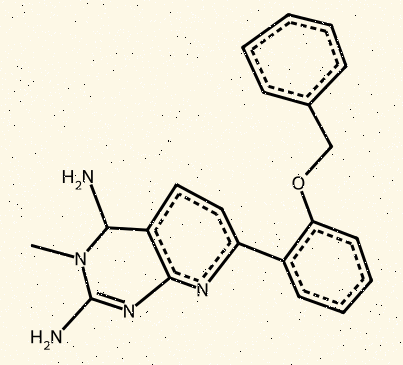 CN1C(N)=Nc2nc(-c3ccccc3OCc3ccccc3)ccc2C1N